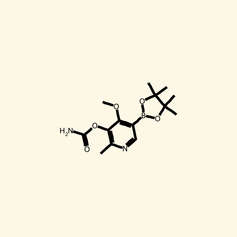 COc1c(B2OC(C)(C)C(C)(C)O2)cnc(C)c1OC(N)=O